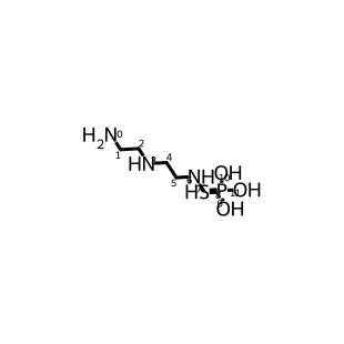 NCCNCCN[SH]=P(O)(O)O